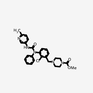 COC(=O)N1CCN(Cc2cccc(N(C(=O)Nc3ccc(C)nc3)c3ccccc3)c2Cl)CC1